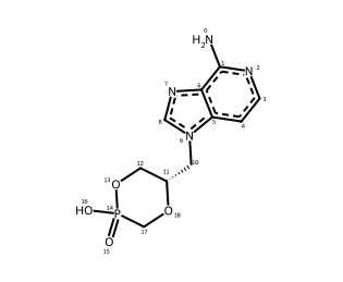 Nc1nccc2c1ncn2C[C@H]1COP(=O)(O)CO1